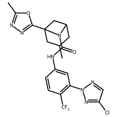 Cc1nnc(C23CC(C)CC(C2)N3C(=O)Nc2ccc(C(F)(F)F)c(-n3ncc(Cl)n3)c2)o1